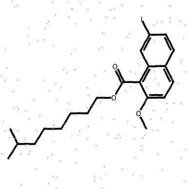 COc1ccc2ccc(I)cc2c1C(=O)OCCCCCCC(C)C